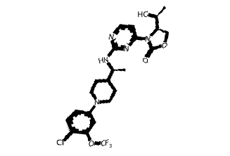 C[C@H](Nc1nccc(N2C(=O)OC[C@@H]2[C@H](C)O)n1)C1CCN(c2ccc(Cl)c(OC(F)(F)F)c2)CC1